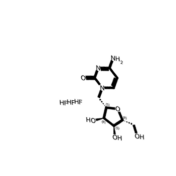 F.F.F.Nc1ccn(C[C@@H]2O[C@H](CO)[C@@H](O)[C@H]2O)c(=O)n1